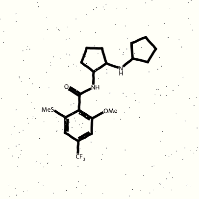 COc1cc(C(F)(F)F)cc(SC)c1C(=O)NC1CCCC1NC1CCCC1